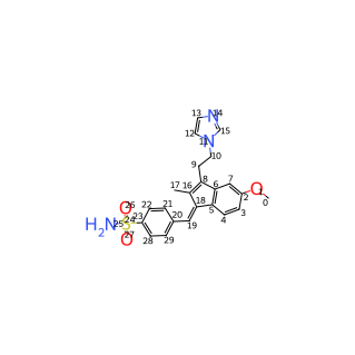 COc1ccc2c(c1)C(CCn1ccnc1)=C(C)C2=Cc1ccc(S(N)(=O)=O)cc1